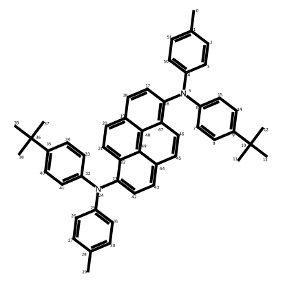 Cc1ccc(N(c2ccc(C(C)(C)C)cc2)c2ccc3ccc4c(N(c5ccc(C)cc5)c5ccc(C(C)(C)C)cc5)ccc5ccc2c3c54)cc1